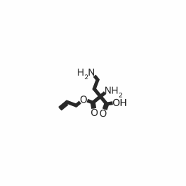 C=CCOC(=O)C(N)(CCN)C(=O)O